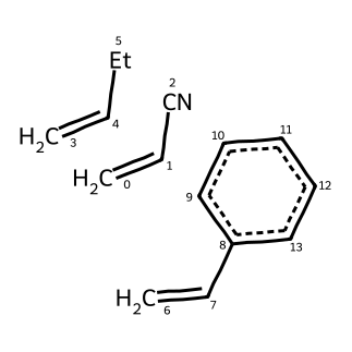 C=CC#N.C=CCC.C=Cc1ccccc1